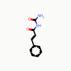 NC(=O)NC(=O)C=Cc1ccccc1